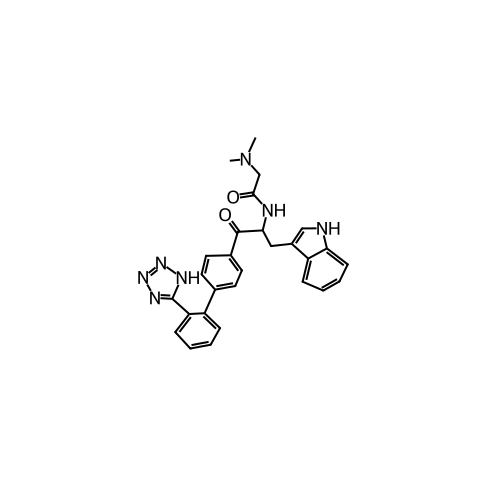 CN(C)CC(=O)NC(Cc1c[nH]c2ccccc12)C(=O)c1ccc(-c2ccccc2-c2nnn[nH]2)cc1